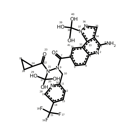 Nc1nc2ccc(C(=O)N(Cc3ccc(C(F)(F)F)cn3)N(C(=O)C3CC3)C(O)(O)O)cc2c2c1cnn2C(O)(O)O